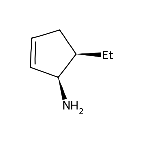 CC[C@@H]1CC=C[C@@H]1N